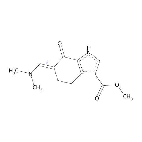 COC(=O)c1c[nH]c2c1CC/C(=C\N(C)C)C2=O